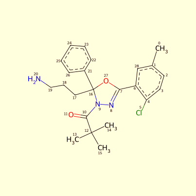 Cc1ccc(Cl)c(C2=NN(C(=O)C(C)(C)C)C(CCCN)(c3ccccc3)O2)c1